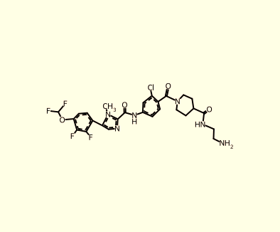 Cn1c(-c2ccc(OC(F)F)c(F)c2F)cnc1C(=O)Nc1ccc(C(=O)N2CCC(C(=O)NCCN)CC2)c(Cl)c1